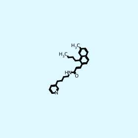 CCCCc1c(C=CC(=O)NCCCCc2cccnc2)ccc2ccc(C)cc12